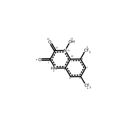 O=c1[nH]c2cc(C(F)(F)F)cc(C(F)(F)F)c2n(O)c1=O